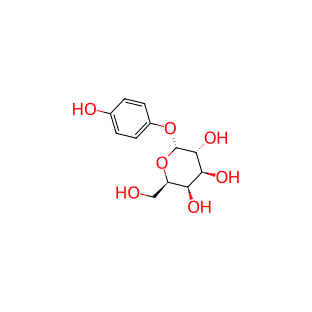 OC[C@H]1O[C@H](Oc2ccc(O)cc2)[C@H](O)[C@@H](O)[C@H]1O